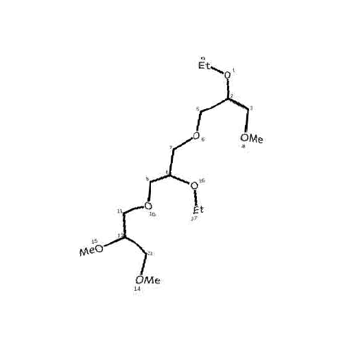 CCOC(COC)COCC(COCC(COC)OC)OCC